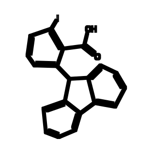 O=C(O)c1c(I)cccc1C1c2ccccc2-c2ccccc21